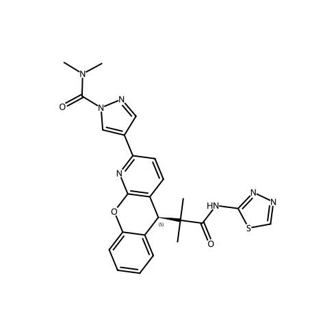 CN(C)C(=O)n1cc(-c2ccc3c(n2)Oc2ccccc2[C@@H]3C(C)(C)C(=O)Nc2nncs2)cn1